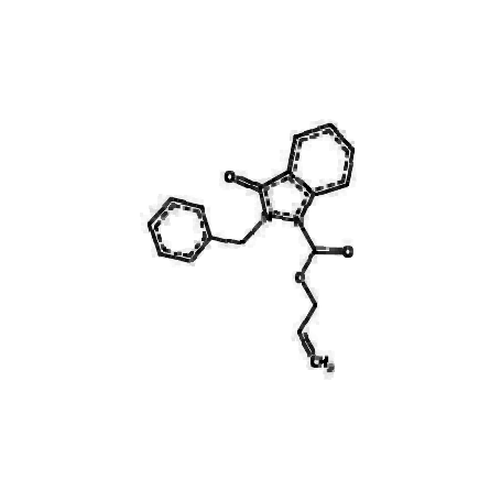 C=CCOC(=O)n1c2ccccc2c(=O)n1Cc1ccccc1